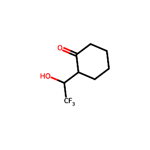 O=C1CCCCC1C(O)C(F)(F)F